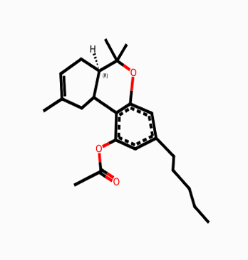 CCCCCc1cc(OC(C)=O)c2c(c1)OC(C)(C)[C@@H]1CC=C(C)CC21